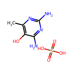 Cc1nc(N)nc(N)c1O.O=S(=O)(O)O